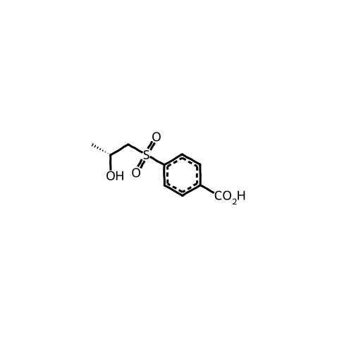 C[C@@H](O)CS(=O)(=O)c1ccc(C(=O)O)cc1